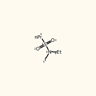 CCCS(=O)(=O)N(I)CC